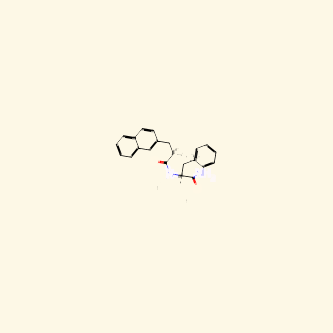 CN[C@H](Cc1ccc2ccccc2c1)C(=O)N(C)[C@](C)(Cc1ccccc1)C(N)=O